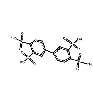 O=S(=O)(O)c1ccc(-c2ccc(S(=O)(=O)O)c(S(=O)(=O)O)c2)cc1S(=O)(=O)O